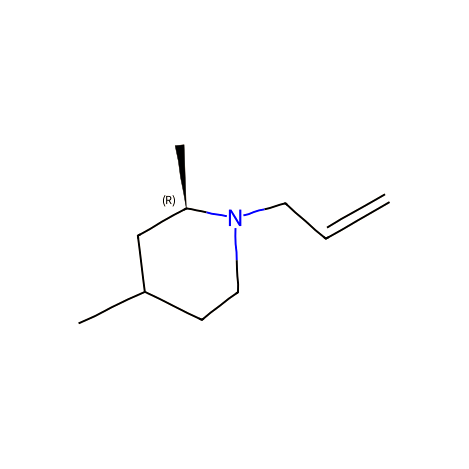 C=CCN1CCC(C)C[C@H]1C